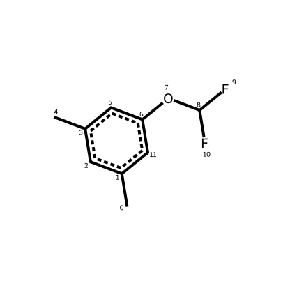 Cc1cc(C)cc(OC(F)F)c1